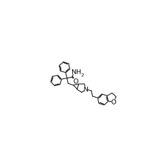 NC(=O)C(CC1C2CN(CCc3ccc4c(c3)CCO4)CC21)(c1ccccc1)c1ccccc1